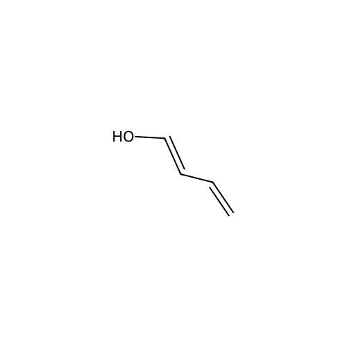 C=C/C=C/O